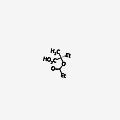 CCC(=O)O[C@@](C)(CC)C(=O)O